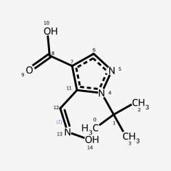 CC(C)(C)n1ncc(C(=O)O)c1/C=N\O